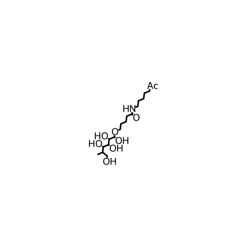 CC(=O)CCCCCNC(=O)CCCCOC(O)C(O)C(O)C(O)C(C)CO